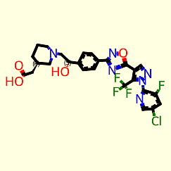 O=C(O)C[C@H]1CCCN(C[C@@H](O)c2ccc(-c3noc(-c4cnn(-c5ncc(Cl)cc5F)c4C(F)(F)F)n3)cc2)C1